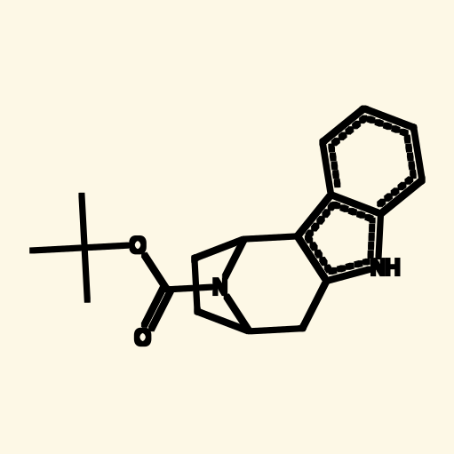 CC(C)(C)OC(=O)N1C2CCC1c1c([nH]c3ccccc13)C2